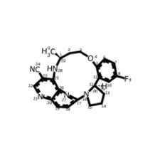 C[C@H]1CCOc2ccc(F)cc2[C@H]2CCCN2c2ccc3ncc(C#N)c(c3n2)N1